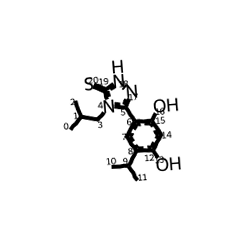 CC(C)Cn1c(-c2cc(C(C)C)c(O)cc2O)n[nH]c1=S